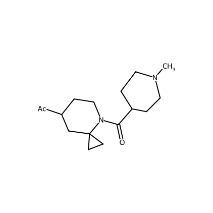 CC(=O)C1CCN(C(=O)C2CCN(C)CC2)C2(CC2)C1